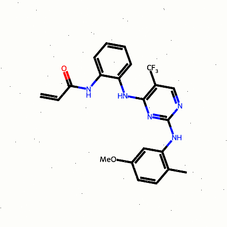 C=CC(=O)Nc1ccccc1Nc1nc(Nc2cc(OC)ccc2C)ncc1C(F)(F)F